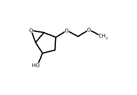 COCOC1CC(O)C2OC12